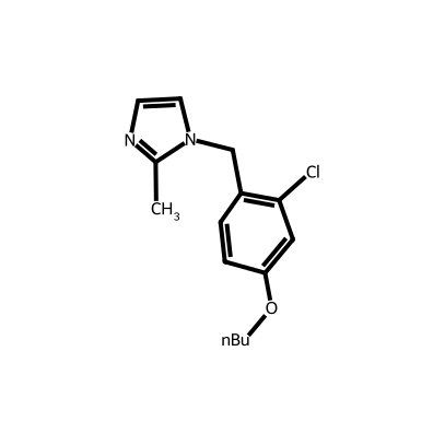 CCCCOc1ccc(Cn2ccnc2C)c(Cl)c1